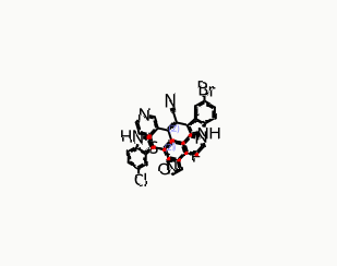 N#C/C(=C(/C(=C(/C#N)c1c[nH]c2ccc(Cl)cc12)c1cnccc1-c1ccoc1)c1cnccc1Sc1ccc(F)cc1)c1c[nH]c2ccc(Br)cc12